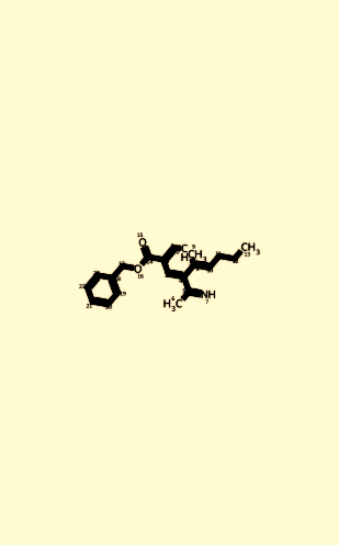 C\C=C(/C=C(C(C)=N)\C(C)=C\CCC)C(=O)OCc1ccccc1